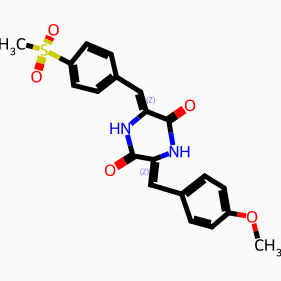 COc1ccc(/C=c2\[nH]c(=O)/c(=C/c3ccc(S(C)(=O)=O)cc3)[nH]c2=O)cc1